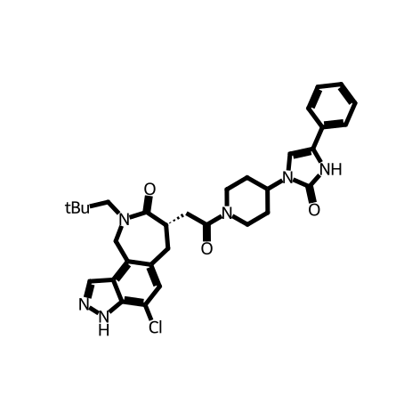 CC(C)(C)CN1Cc2c(cc(Cl)c3[nH]ncc23)C[C@@H](CC(=O)N2CCC(n3cc(-c4ccccc4)[nH]c3=O)CC2)C1=O